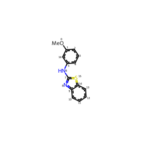 COc1cccc(Nc2nc3ccccc3s2)c1